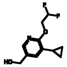 OCc1cnc(OCC(F)F)c(C2CC2)c1